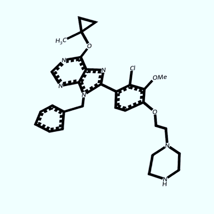 COc1c(OCCN2CCNCC2)ccc(-c2nc3c(OC4(C)CC4)ncnc3n2Cc2ccccc2)c1Cl